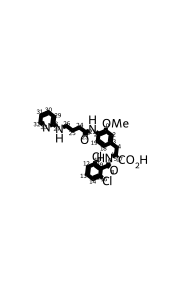 COc1cc(C[C@H](NC(=O)c2c(Cl)cccc2Cl)C(=O)O)ccc1NC(=O)CCCNc1ccccn1